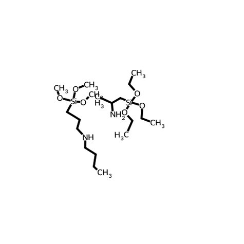 CCCCNCCC[Si](OC)(OC)OC.CCO[Si](CC(C)N)(OCC)OCC